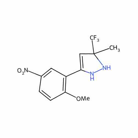 COc1ccc([N+](=O)[O-])cc1C1=CC(C)(C(F)(F)F)NN1